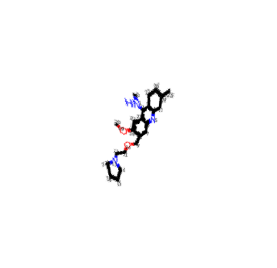 CNc1c2c(nc3cc(COCCN4CCCC4)c(OC)cc13)CC(C)CC2